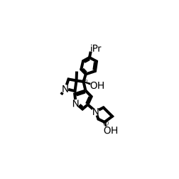 CC(C)c1ccc([C@](O)(c2cncc(N3CC[C@@H](O)C3)c2)C2(C)CN(C)C2)cc1